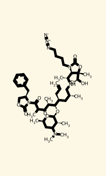 C=CC[C@@H](C[C@@H](C)CN[C@H](C)[C@H]1N(CCCCN=[N+]=[N-])C(=O)O[C@]1(C)[C@H](O)CC)[C@H](O[C@@H]1O[C@H](C)CC(N(C)C)[C@H]1C)[C@@H](C)C(=O)C(C)C(=O)N1C(=O)OC[C@H]1Cc1ccccc1